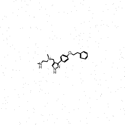 CNCCN(C)Cc1c[nH]nc1-c1ccc(OCCc2ccccc2)cc1